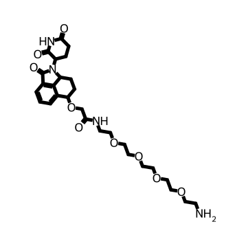 NCCOCCOCCOCCOCCNC(=O)COC1CCC2c3c(cccc31)C(=O)N2C1CCC(=O)NC1=O